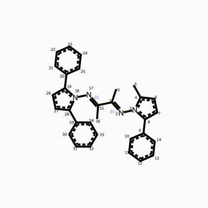 CC(=N\n1c(C)ccc1-c1ccccc1)/C(C)=N/n1c(-c2ccccc2)ccc1-c1ccccc1